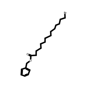 O=C(CCCCCCCCCCCCCBr)OCc1ccccc1